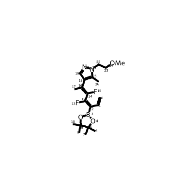 C=C/C(B1OC(C)(C)C(C)(C)O1)=C(F)\C(F)=C(/C)c1cnn(CCOC)c1C